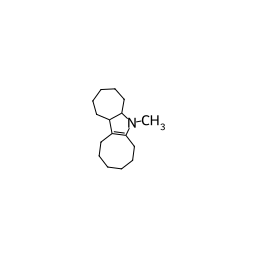 CN1C2=C(CCCCCC2)C2CCCCCC21